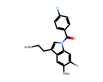 COc1cc2c(CCNC(C)=O)cn(C(=O)c3ccc(Cl)cc3)c2cc1Cl